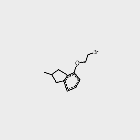 CC1Cc2cccc(OCCBr)c2C1